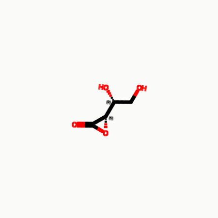 O=C1O[C@H]1[C@H](O)CO